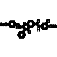 COc1ccc(CNc2nc3c(c(=O)n2-c2ccccc2)CN(C(=O)Nc2ccc(OC)c(Cl)c2)CC3)cc1